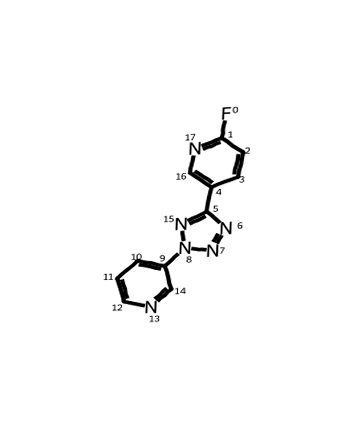 Fc1ccc(-c2nnn(-c3cccnc3)n2)cn1